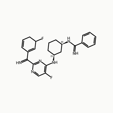 N=C(N[C@@H]1CCC[C@H](Nc2nc(C(=N)C3=CC(F)CC=C3)ncc2F)C1)c1ccccc1